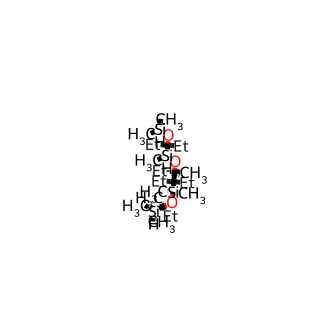 CCC(C)(O[Si](C)(C)C(CC)(CC)[C@@](C)(CC)O[SiH](C)C(CC)(CC)O[SiH](C)C)[SiH](C)C